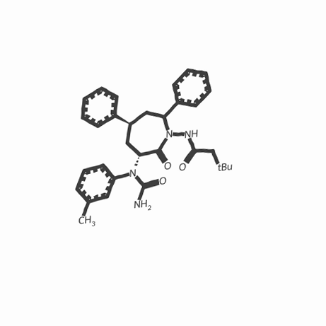 Cc1cccc(N(C(N)=O)[C@@H]2C[C@@H](c3ccccc3)CC(c3ccccc3)N(NC(=O)CC(C)(C)C)C2=O)c1